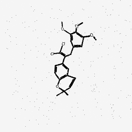 COc1cc(CC(=C(Cl)Cl)c2ccc3c(c2)C=CC(C)(C)O3)cc(OC)c1OC